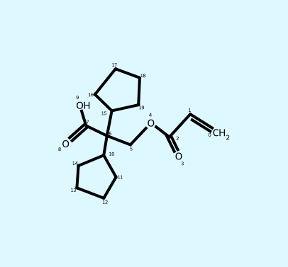 C=CC(=O)OCC(C(=O)O)(C1CCCC1)C1CCCC1